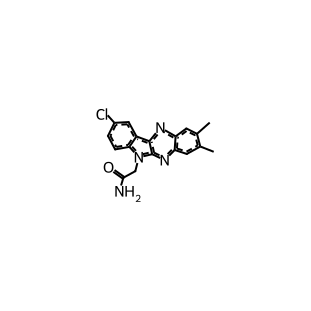 Cc1cc2nc3c4cc(Cl)ccc4n(CC(N)=O)c3nc2cc1C